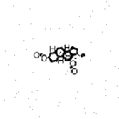 C=C[C@H]1CC[C@H]2[C@@H]3CC[C@@H]4C[C@H](OC=O)CC[C@]4(C)[C@H]3C[C@H](OC=O)[C@]12C